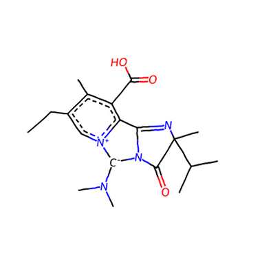 CCc1c[n+]2c(c(C(=O)O)c1C)C1=NC(C)(C(C)C)C(=O)N1[C-]2N(C)C